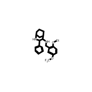 CCOc1ccc(OC(F)(F)F)cc1CNC1C2CCCC(C2)NC1c1ccccc1